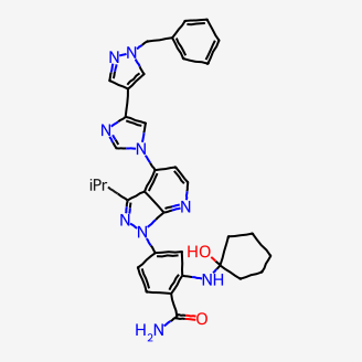 CC(C)c1nn(-c2ccc(C(N)=O)c(NC3(O)CCCCC3)c2)c2nccc(-n3cnc(-c4cnn(Cc5ccccc5)c4)c3)c12